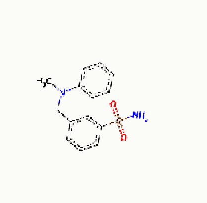 CN(Cc1cccc(S(N)(=O)=O)c1)c1ccccc1